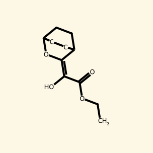 CCOC(=O)C(O)=C1OC2CCC1CC2